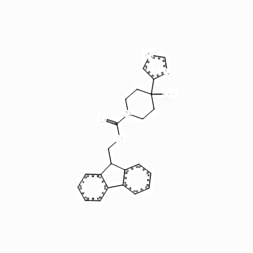 O=C(OCC1c2ccccc2-c2ccccc21)N1CCC(O)(c2c[nH]cn2)CC1